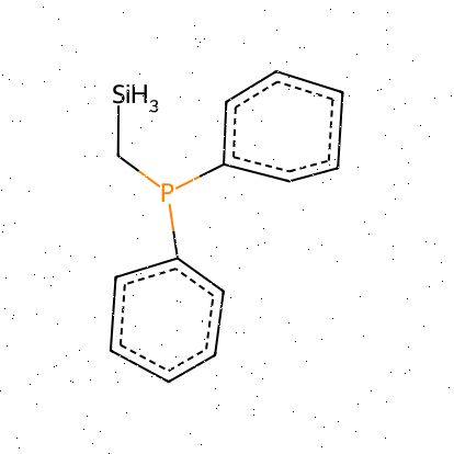 [SiH3]CP(c1ccccc1)c1ccccc1